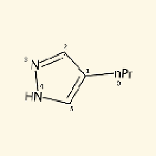 CCCc1[c]n[nH]c1